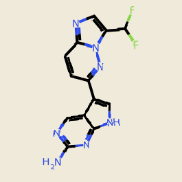 Nc1ncc2c(-c3ccc4ncc(C(F)F)n4n3)c[nH]c2n1